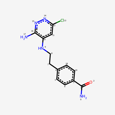 NC(=O)c1ccc(CCNc2cc(Cl)nnc2N)cc1